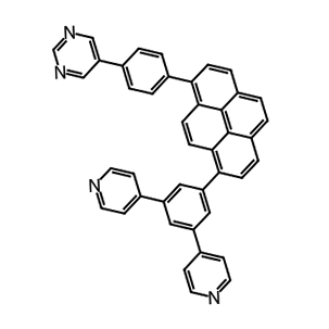 c1cc(-c2cc(-c3ccncc3)cc(-c3ccc4ccc5ccc(-c6ccc(-c7cncnc7)cc6)c6ccc3c4c56)c2)ccn1